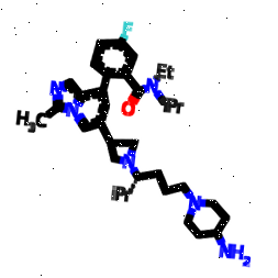 CCN(C(=O)c1cc(F)ccc1-c1cc(C2CN([C@H](CCCN3CCC(N)CC3)C(C)C)C2)cn2c(C)ncc12)C(C)C